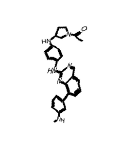 CNc1cccc(-c2cccc3cnc(Nc4ccc(NC5CCN(C(C)=O)C5)cc4)nc23)c1